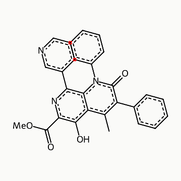 COC(=O)c1nc(-c2cccnc2)c2c(c(C)c(-c3ccccc3)c(=O)n2-c2ccccc2)c1O